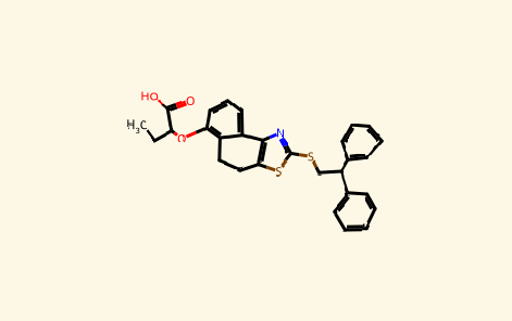 CCC(Oc1cccc2c1CCc1sc(SCC(c3ccccc3)c3ccccc3)nc1-2)C(=O)O